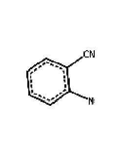 [N]c1ccccc1C#N